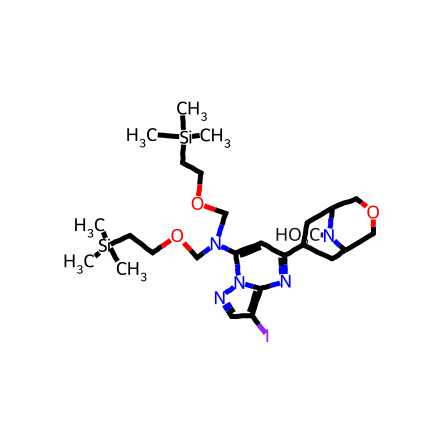 C[Si](C)(C)CCOCN(COCC[Si](C)(C)C)c1cc(C2CC3COCC(C2)N3C(=O)O)nc2c(I)cnn12